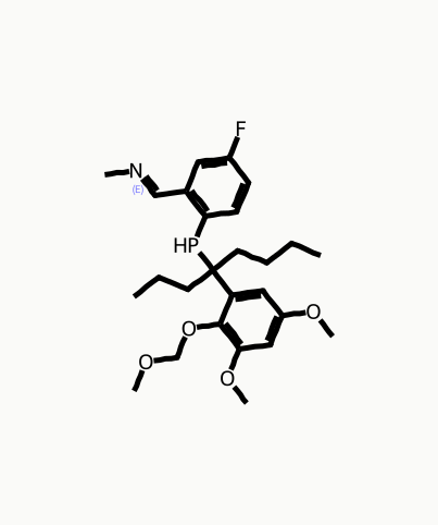 CCCCC(CCC)(Pc1ccc(F)cc1/C=N/C)c1cc(OC)cc(OC)c1OCOC